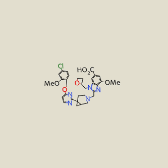 COc1cc(Cl)ccc1COc1ccnc(C23CCN(Cc4nc5c(OC)cc(C(=O)O)cc5n4CC4CCO4)CC2C3)n1